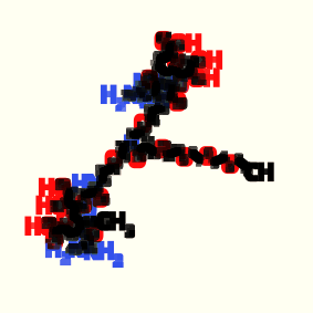 C#CCOCCOCCOCCOCCC(=O)N(CCOCCCNC(=O)CO[C@H]([C@H](O)CO)[C@@H]1OC(C(=O)O)=C[C@H](N=C(N)N)C1NC(C)=O)CCOCCCNC(=O)CO[C@@H]([C@@H]1OC(C(=O)O)=CC[C@H]1NC(=O)CN=C(N)N)[C@H](O)CO